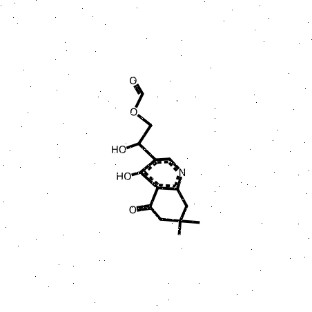 CC1(C)CC(=O)c2c(ncc(C(O)COC=O)c2O)C1